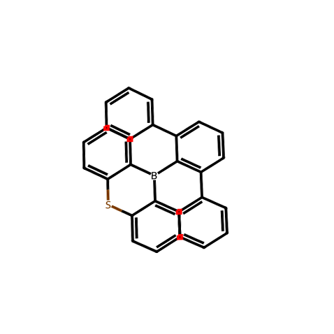 c1ccc(-c2cccc(-c3ccccc3)c2B2c3ccccc3Sc3ccccc32)cc1